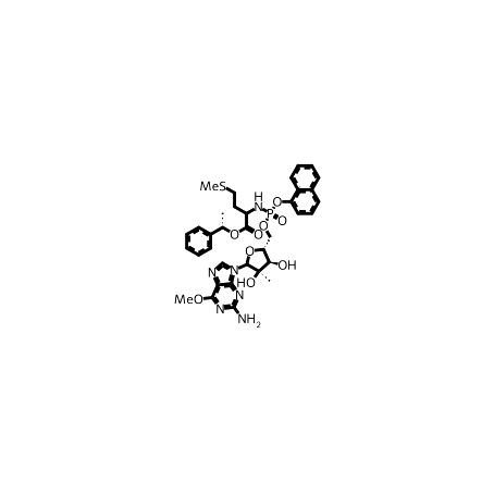 COc1nc(N)nc2c1ncn2C1O[C@H](COP(=O)(NC(CCSC)C(=O)O[C@@H](C)c2ccccc2)Oc2cccc3ccccc23)[C@@H](O)[C@@]1(C)O